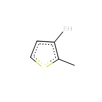 Bc1ccsc1C